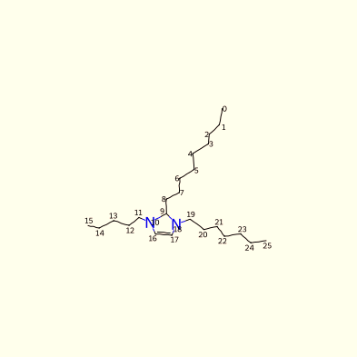 CCCCCCCCCC1N(CCCCC)C=CN1CCCCCCC